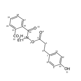 CCN(OC(=O)CCc1ccc(O)cc1)C(=O)c1ccccc1C(=O)O